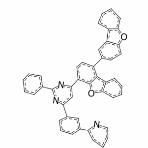 c1ccc(-c2nc(-c3cccc(-c4ccccn4)c3)cc(-c3ccc(-c4ccc5oc6ccccc6c5c4)c4c3oc3ccccc34)n2)cc1